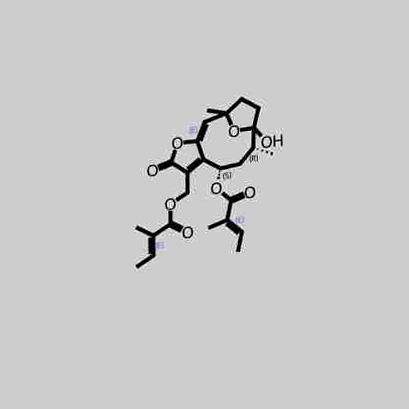 C/C=C(\C)C(=O)OCC1=C2/C(=C\C3(C)CCC(O)(O3)[C@H](C)C[C@@H]2OC(=O)/C(C)=C/C)OC1=O